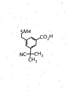 CSCc1cc(C(=O)O)cc(C(C)(C)C#N)c1